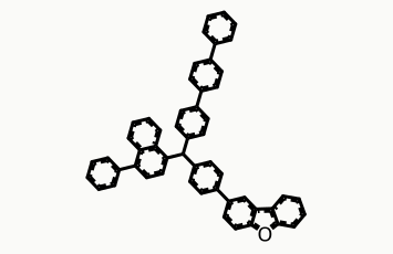 c1ccc(-c2ccc(-c3ccc(C(c4ccc(-c5ccc6oc7ccccc7c6c5)cc4)c4ccc(-c5ccccc5)c5ccccc45)cc3)cc2)cc1